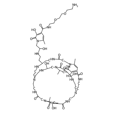 Cc1cc2c(O)c(=O)n1CC(=O)NCCC(CCNC(O)Cn1c(C)cc(C(=O)NCCOCCOCCN)c(O)c1=O)NCCN1CCNC(=O)CN3C(=O)C(O)=C(CC3C)C(=O)NCCN(CCNC2=O)CCNC(O)C2=C(O)C(=O)N(CC(O)NCC1)C(C)C2